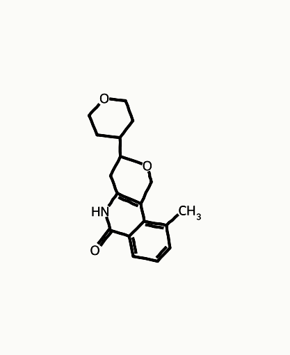 Cc1cccc2c(=O)[nH]c3c(c12)COC(C1CCOCC1)C3